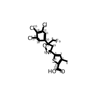 Cc1cc(C2=NOC(CF)(c3cc(Cl)c(Cl)c(Cl)c3)C2)sc1C(=O)O